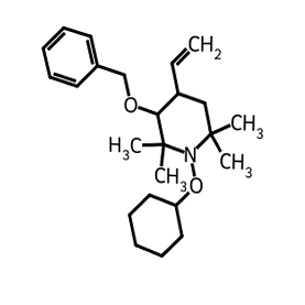 C=CC1CC(C)(C)N(OC2CCCCC2)C(C)(C)C1OCc1ccccc1